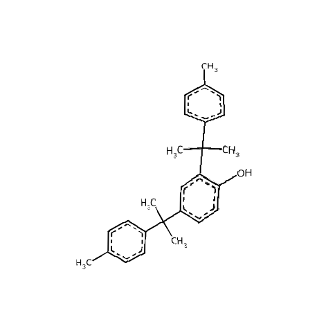 Cc1ccc(C(C)(C)c2ccc(O)c(C(C)(C)c3ccc(C)cc3)c2)cc1